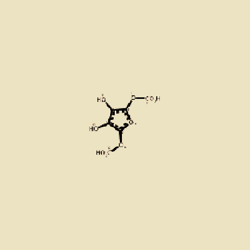 O=C(O)Oc1oc(OC(=O)O)c(O)c1O